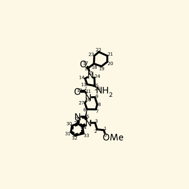 COCCCn1c([C@@H]2CCCN(C(=O)[C@@H]3CN(C(=O)C4CCCCC4)C[C@H]3N)C2)nc2ccccc21